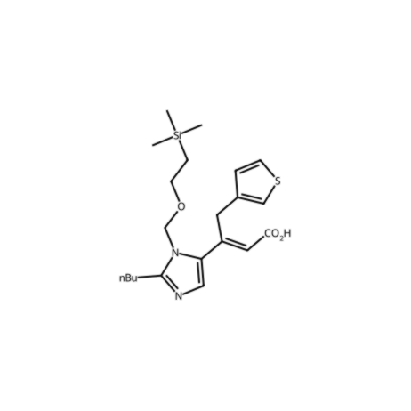 CCCCc1ncc(C(=CC(=O)O)Cc2ccsc2)n1COCC[Si](C)(C)C